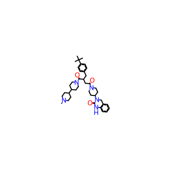 CN1CCC(C2CCN(C(=O)C(CC(=O)N3CCC(N4Cc5ccccc5NC4=O)CC3)Cc3ccc(C(C)(C)C)cc3)CC2)CC1